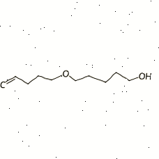 C=CCCCOCCCCCO